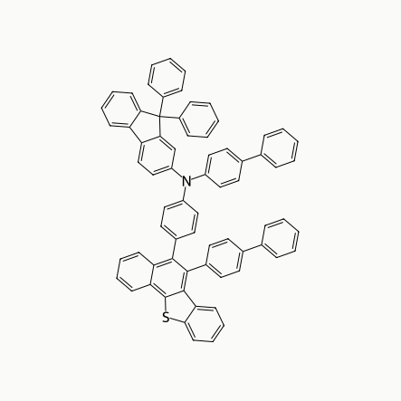 c1ccc(-c2ccc(-c3c(-c4ccc(N(c5ccc(-c6ccccc6)cc5)c5ccc6c(c5)C(c5ccccc5)(c5ccccc5)c5ccccc5-6)cc4)c4ccccc4c4sc5ccccc5c34)cc2)cc1